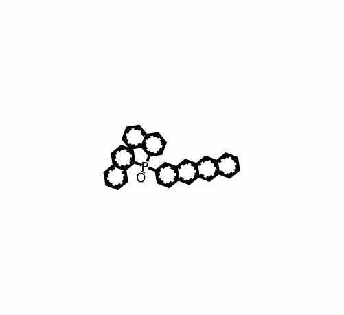 O=P(c1ccc2cc3cc4ccccc4cc3cc2c1)(c1cccc2ccccc12)c1cccc2ccccc12